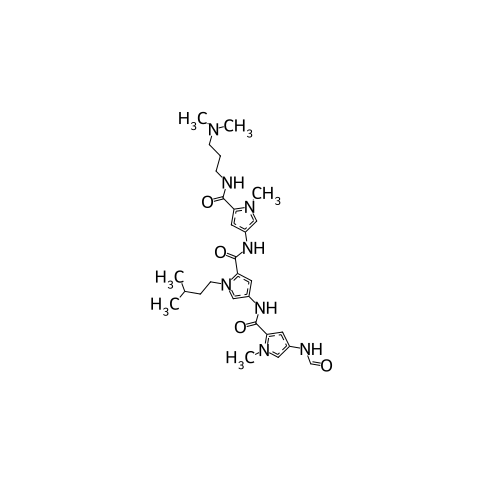 CC(C)CCn1cc(NC(=O)c2cc(NC=O)cn2C)cc1C(=O)Nc1cc(C(=O)NCCCN(C)C)n(C)c1